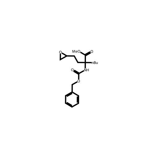 CCCCC(CCC1CO1)(NC(=O)OCc1ccccc1)C(=O)OC